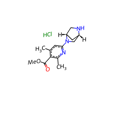 COC(=O)c1c(C)cc(N2C[C@@H]3C[C@H]2CN3)nc1C.Cl